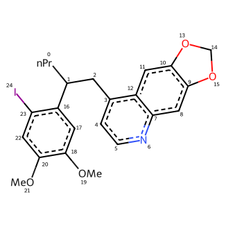 CCCC(Cc1ccnc2cc3c(cc12)OCO3)c1cc(OC)c(OC)cc1I